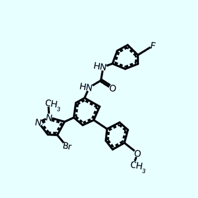 COc1ccc(-c2cc(NC(=O)Nc3ccc(F)cc3)cc(-c3c(Br)cnn3C)c2)cc1